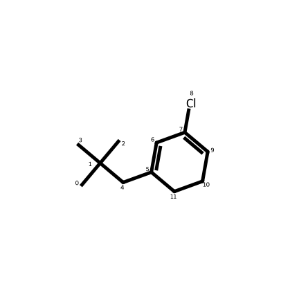 CC(C)(C)CC1=CC(Cl)=CCC1